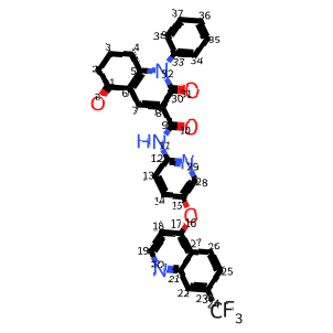 O=C1CCCc2c1cc(C(=O)Nc1ccc(Oc3ccnc4cc(C(F)(F)F)ccc34)cn1)c(=O)n2-c1ccccc1